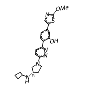 COc1ncc(-c2ccc(-c3ccc(N4CC[C@H](NC5CCC5)C4)nn3)c(O)c2)s1